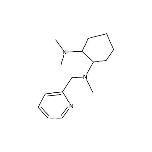 CN(C)C1CCCCC1N(C)Cc1ccccn1